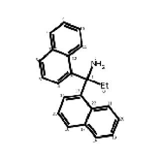 [CH2]CC(N)(c1cccc2ccccc12)c1cccc2ccccc12